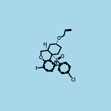 C=CCO[C@@H]1CC[C@@]2(S(=O)(=O)c3ccc(Cl)cc3)c3c(F)ccc(F)c3OC[C@H]2C1